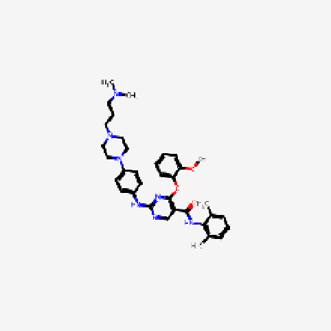 CCOc1ccccc1Oc1nc(Nc2ccc(N3CCN(CCCN(C)C)CC3)cc2)ncc1C(=O)Nc1c(C)cccc1C